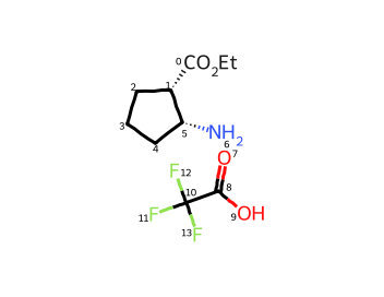 CCOC(=O)[C@H]1CCC[C@H]1N.O=C(O)C(F)(F)F